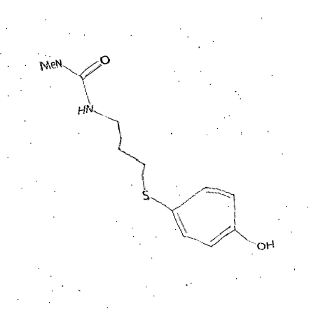 CNC(=O)NCCCSc1ccc(O)cc1